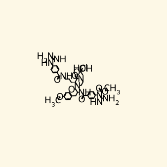 COC(=O)N(C(=N)N)c1ccc(C(=O)NC(Cc2ccc(OC)cc2)C(=O)N2CCN(CC(=O)O)C(=O)[C@@H]2CCCNC(=O)c2ccc(NC(=N)N)cc2)cc1.Cl